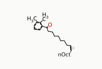 CCCCCCCC/C=C\CCCCCCCC(=O)c1cccc(C)c1C